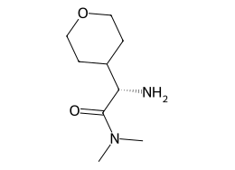 CN(C)C(=O)[C@@H](N)C1CCOCC1